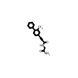 NC(=O)CNC(=O)C#Cc1ccc(-c2ccccc2)c(C(F)(F)F)c1